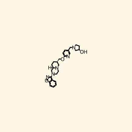 OC1CCN(Cc2ccc(OC[C@@H]3CC[C@H]4CN(c5noc6ccccc56)CCN4C3)nc2)C1